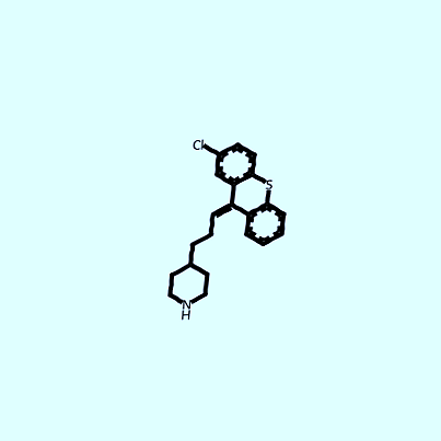 Clc1ccc2c(c1)/C(=C/CCC1CCNCC1)c1ccccc1S2